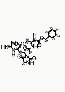 N=C(N)NC(=O)CC[N+]1(CC(=O)NC(CC(=O)[O-])NC(=O)OCc2ccccc2)C(=O)CNC1=O